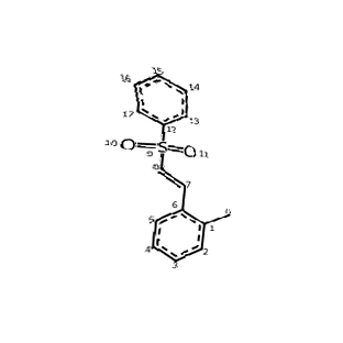 Cc1ccccc1C=CS(=O)(=O)c1ccccc1